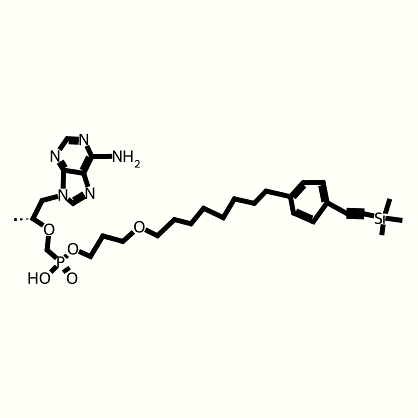 C[C@H](Cn1cnc2c(N)ncnc21)OCP(=O)(O)OCCCOCCCCCCCCc1ccc(C#C[Si](C)(C)C)cc1